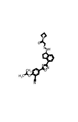 CC(C)Oc1ccc(-c2nc(-c3cccc4c3CC[C@H]4NSCC(=O)N3CCC3)no2)cc1C#N